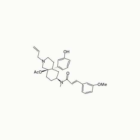 C=CCN1CC[C@@]2(c3cccc(O)c3)C[C@@H](N(C)C(=O)C=Cc3cccc(OC)c3)CC[C@]2(OC(C)=O)C1